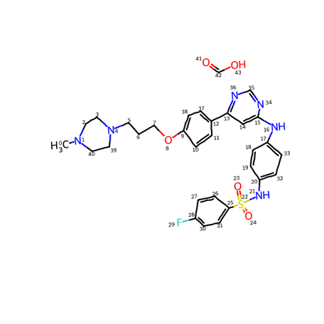 CN1CCN(CCCOc2ccc(-c3cc(Nc4ccc(NS(=O)(=O)c5ccc(F)cc5)cc4)ncn3)cc2)CC1.O=CO